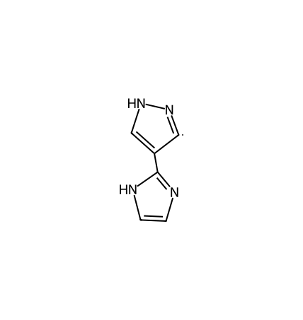 [c]1n[nH]cc1-c1ncc[nH]1